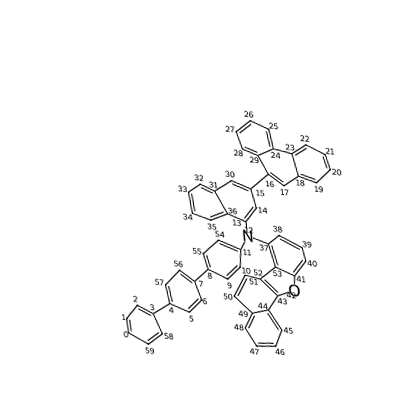 c1ccc(-c2ccc(-c3ccc(N(c4cc(-c5cc6ccccc6c6ccccc56)cc5ccccc45)c4cccc5oc6c7ccccc7ccc6c45)cc3)cc2)cc1